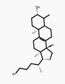 CC(C)CCC[C@@H](C)[C@H]1CC[C@H]2C3=C(CC[C@]12C)[C@@]1(C)CC[C@H](O)C(C)C1CC3